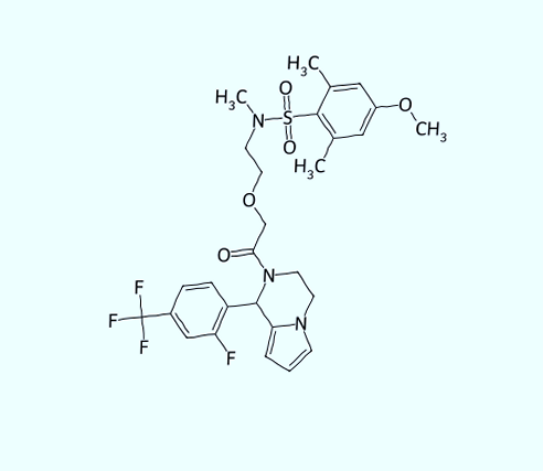 COc1cc(C)c(S(=O)(=O)N(C)CCOCC(=O)N2CCn3cccc3C2c2ccc(C(F)(F)F)cc2F)c(C)c1